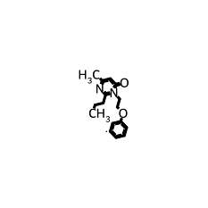 CCCc1nc(C)cc(=O)n1CCOc1c[c]ccc1